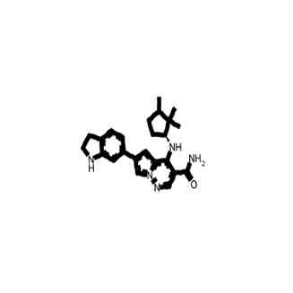 CC1CC[C@@H](Nc2c(C(N)=O)cnn3cc(-c4ccc5c(c4)NCC5)cc23)C1(C)C